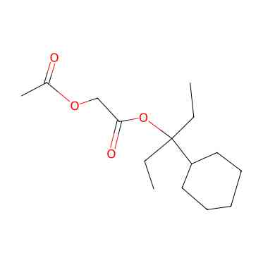 CCC(CC)(OC(=O)COC(C)=O)C1CCCCC1